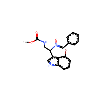 CC(C)(C)OC(=O)NCC(c1c[nH]c2cccc(Br)c12)[N+]([O-])=Cc1ccccc1